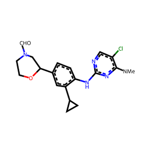 CNc1nc(Nc2ccc(C3CN(C=O)CCO3)cc2C2CC2)ncc1Cl